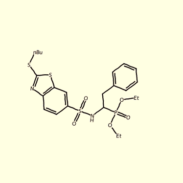 CCCCSc1nc2ccc(S(=O)(=O)NC(Cc3ccccc3)P(=O)(OCC)OCC)cc2s1